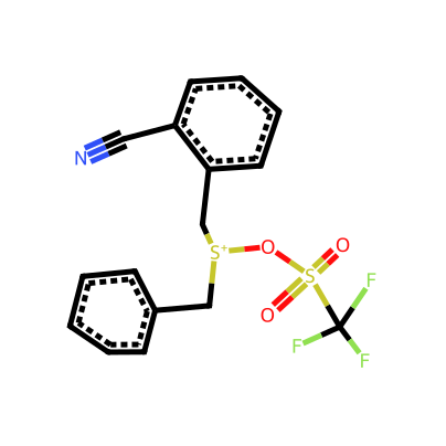 N#Cc1ccccc1C[S+](Cc1ccccc1)OS(=O)(=O)C(F)(F)F